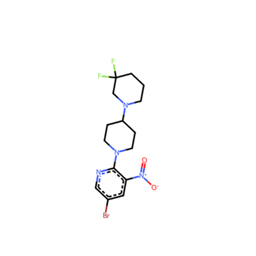 O=[N+]([O-])c1cc(Br)cnc1N1CCC(N2CCCC(F)(F)C2)CC1